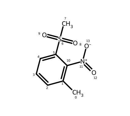 Cc1cccc(S(C)(=O)=O)c1[N+](=O)[O-]